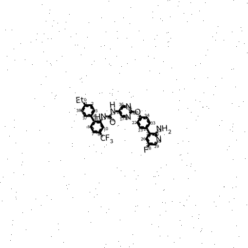 CCc1ccc(-c2ccc(C(F)(F)F)cc2NC(=O)Nc2cnc(Oc3ccc(-c4cc(F)cnc4N)cc3)nc2)cc1